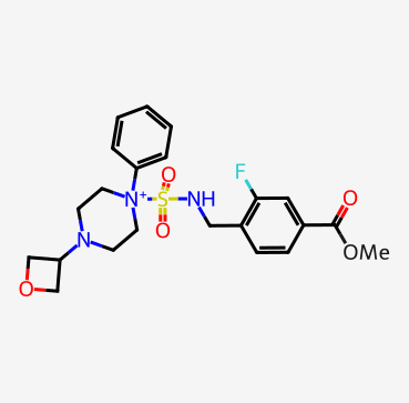 COC(=O)c1ccc(CNS(=O)(=O)[N+]2(c3ccccc3)CCN(C3COC3)CC2)c(F)c1